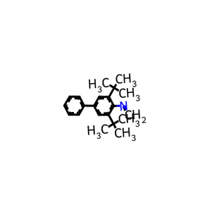 C=Nc1c(C(C)(C)C)cc(-c2ccccc2)cc1C(C)(C)C